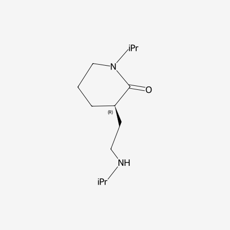 CC(C)NCC[C@H]1CCCN(C(C)C)C1=O